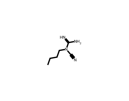 CCCCN(C#N)C(=N)N